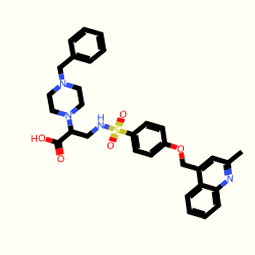 Cc1cc(COc2ccc(S(=O)(=O)NCC(C(=O)O)N3CCN(Cc4ccccc4)CC3)cc2)c2ccccc2n1